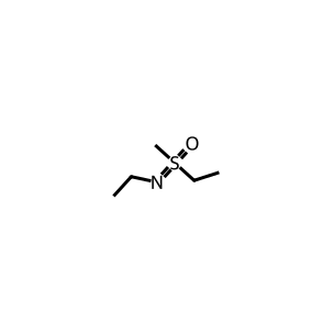 CCN=S(C)(=O)CC